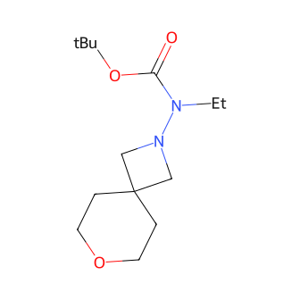 CCN(C(=O)OC(C)(C)C)N1CC2(CCOCC2)C1